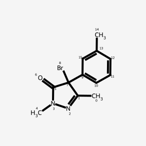 CC1=NN(C)C(=O)C1(Br)c1cccc(C)c1